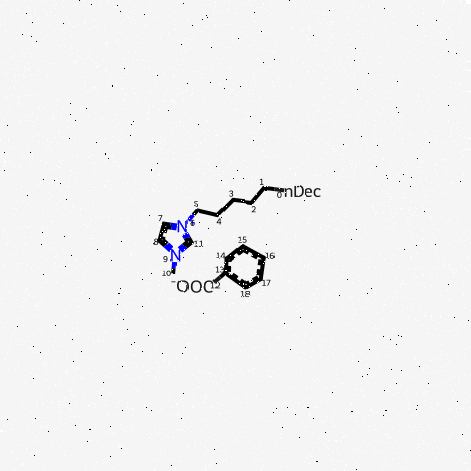 CCCCCCCCCCCCCCC[n+]1ccn(C)c1.O=C([O-])c1ccccc1